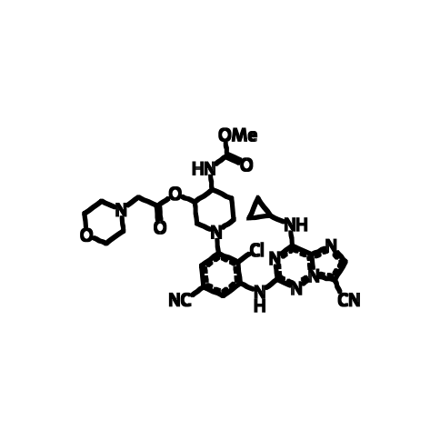 COC(=O)NC1CCN(c2cc(C#N)cc(Nc3nc(NC4CC4)c4ncc(C#N)n4n3)c2Cl)CC1OC(=O)CN1CCOCC1